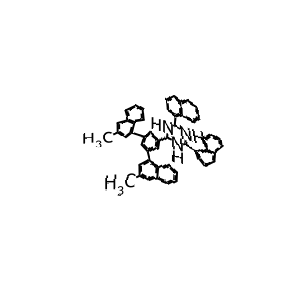 Cc1cc(-c2cc(-c3cc(C)cc4ccccc34)cc(C3NC(c4cccc5ccccc45)NC(c4cccc5ccccc45)N3)c2)c2ccccc2c1